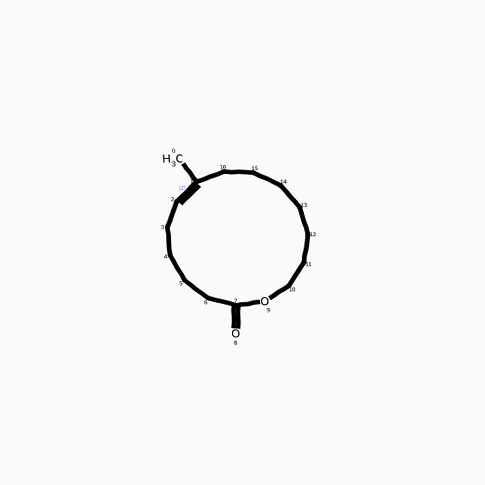 C/C1=C/CCCCC(=O)OCCCCCCC1